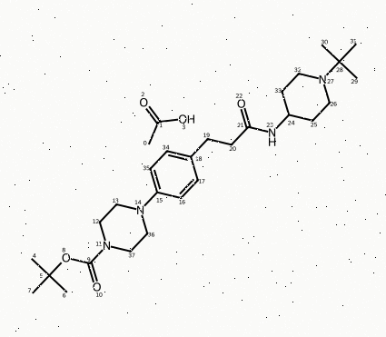 CC(=O)O.CC(C)(C)OC(=O)N1CCN(c2ccc(CCC(=O)NC3CCN(C(C)(C)C)CC3)cc2)CC1